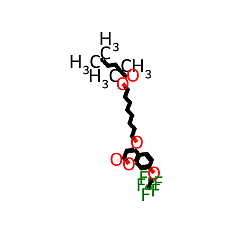 CC(C)CCC(C)(C)C(=O)OCCCCCCCCOc1cc(=O)oc2cc(OC(F)(F)C(F)(F)F)ccc12